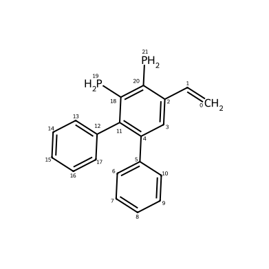 C=Cc1cc(-c2ccccc2)c(-c2ccccc2)c(P)c1P